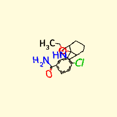 CCOC1(c2cc(C(N)=O)ccc2Cl)C2CCCC1CNC2